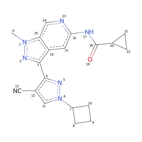 Cn1nc(-c2nn(C3CCC3)cc2C#N)c2cc(NC(=O)C3CC3)ncc21